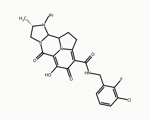 CC(C)N1C2C3CCc4c(C(=O)NCc5cccc(Cl)c5F)c(=O)c(O)c(n43)C(=O)N2C[C@@H]1C